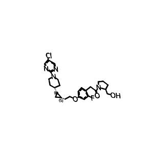 O=C(Cc1ccc(OCC[C@@H]2C[C@@H]2C2CCN(c3ncc(Cl)cn3)CC2)cc1F)N1CCCC1CO